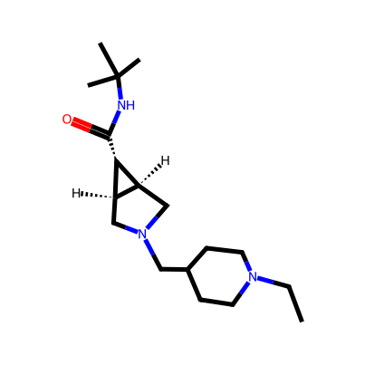 CCN1CCC(CN2C[C@@H]3[C@H](C2)[C@H]3C(=O)NC(C)(C)C)CC1